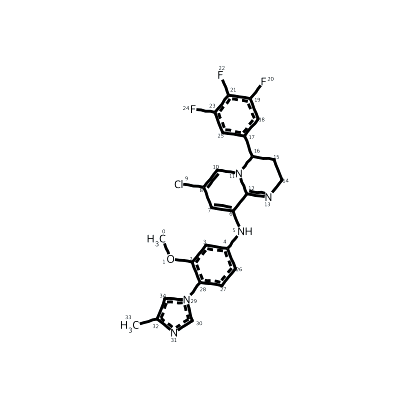 COc1cc(NC2=CC(Cl)=CN3C2=NCCC3c2cc(F)c(F)c(F)c2)ccc1-n1cnc(C)c1